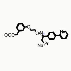 CC(C)C/C(=N\OCCOc1cccc(CC(=O)[O-])c1)c1ccc(-c2ccccn2)cc1.[Na+]